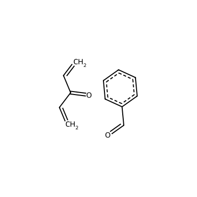 C=CC(=O)C=C.O=Cc1ccccc1